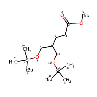 CC(C)(C)OC(=O)CCC(CO[Si](C)(C)C(C)(C)C)CO[Si](C)(C)C(C)(C)C